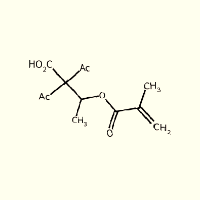 C=C(C)C(=O)OC(C)C(C(C)=O)(C(C)=O)C(=O)O